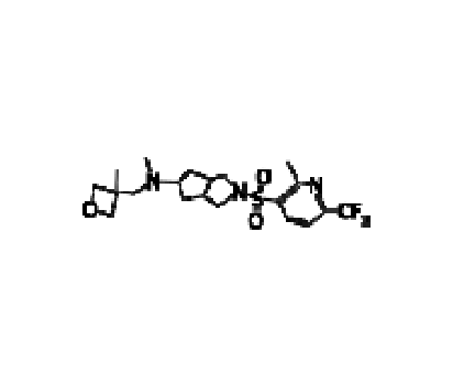 Cc1nc(C(F)(F)F)ccc1S(=O)(=O)N1CC2CC(N(C)CC3(C)COC3)CC2C1